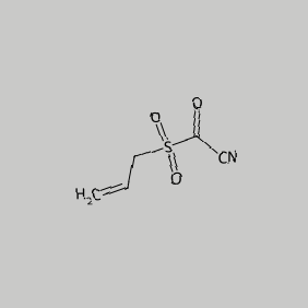 C=CCS(=O)(=O)C(=O)C#N